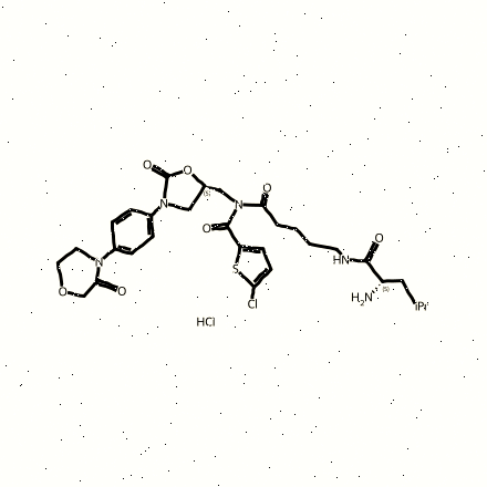 CC(C)C[C@H](N)C(=O)NCCCCC(=O)N(C[C@H]1CN(c2ccc(N3CCOCC3=O)cc2)C(=O)O1)C(=O)c1ccc(Cl)s1.Cl